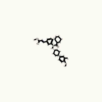 COC(=O)/C=C/c1cccc(N(C[C@H]2CC[C@H](c3ccc(OC)c(C)c3)CC2)C(=O)C2CCCCC2)c1